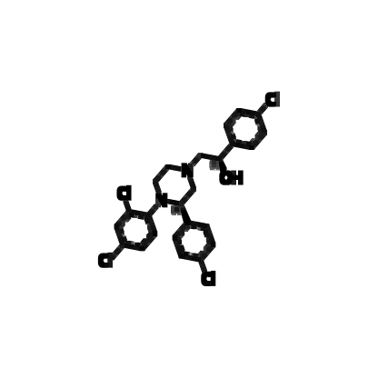 O[C@@H](CN1CCN(c2ccc(Cl)cc2Cl)[C@H](c2ccc(Cl)cc2)C1)c1ccc(Cl)cc1